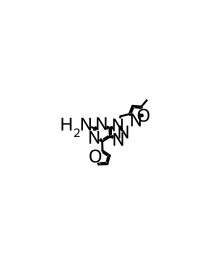 Cc1cc(Cn2nnc3c(-c4ccco4)nc(N)nc32)no1